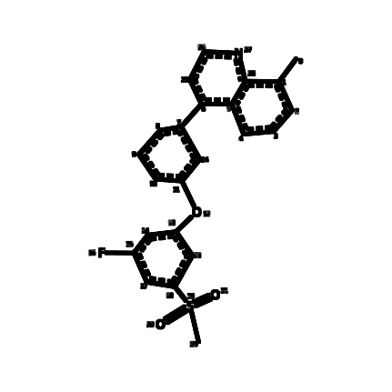 Cc1cccc2c(-c3cccc(Oc4cc(F)cc(S(C)(=O)=O)c4)c3)ccnc12